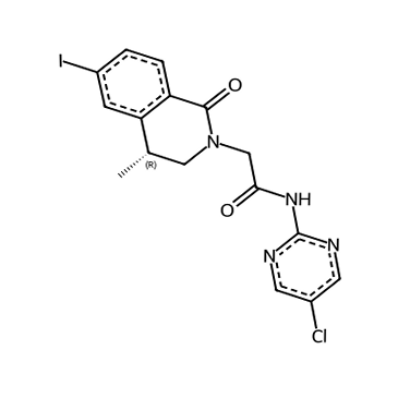 C[C@H]1CN(CC(=O)Nc2ncc(Cl)cn2)C(=O)c2ccc(I)cc21